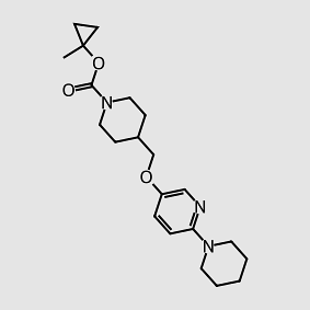 CC1(OC(=O)N2CCC(COc3ccc(N4CCCCC4)nc3)CC2)CC1